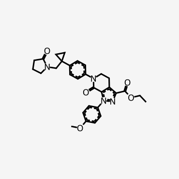 CCOC(=O)c1nn(-c2ccc(OC)cc2)c2c1CCN(c1ccc(C3(CN4CCCC4=O)CC3)cc1)C2=O